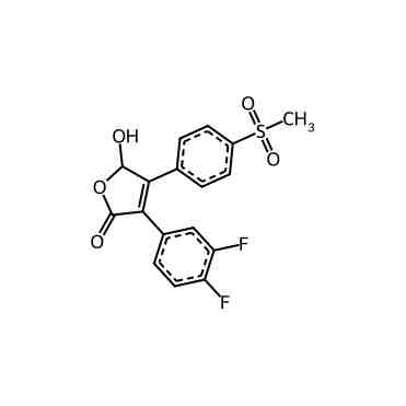 CS(=O)(=O)c1ccc(C2=C(c3ccc(F)c(F)c3)C(=O)OC2O)cc1